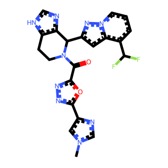 Cn1cnc(-c2nnc(C(=O)N3CCc4[nH]cnc4C3c3cc4c(C(F)F)cccn4n3)o2)c1